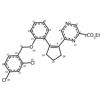 CCOC(=O)c1cncc(C2=C(c3ccccc3OCc3ccc(Cl)cc3Cl)CCC2)n1